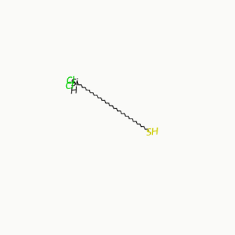 SCCCCCCCCCCCCCCCCCCCCCCCCCCCCCCCCCCCCC[SiH](Cl)Cl